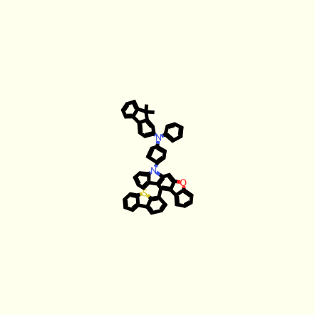 CC1(C)c2ccccc2-c2ccc(N(c3ccccc3)c3ccc(-n4c5ccccc5c5c(-c6cccc7c6sc6ccccc67)c6c(cc54)oc4ccccc46)cc3)cc21